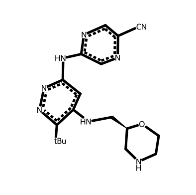 CC(C)(C)c1nnc(Nc2cnc(C#N)cn2)cc1NC[C@@H]1CNCCO1